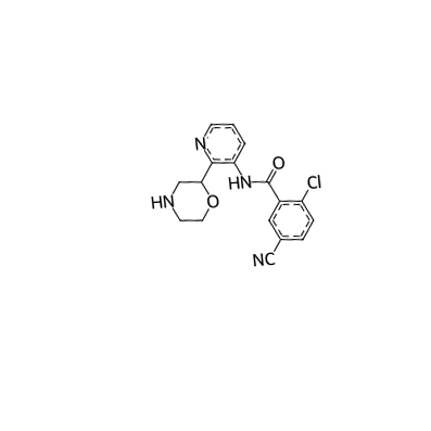 N#Cc1ccc(Cl)c(C(=O)Nc2cccnc2C2CNCCO2)c1